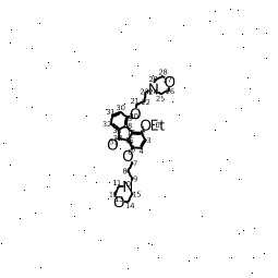 CCOc1ccc(OCCCN2CCOCC2)c2c1-c1c(OCCCN3CCOCC3)cccc1C2=O